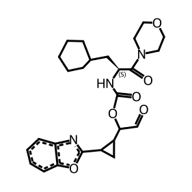 O=CC(OC(=O)N[C@@H](CC1CCCCC1)C(=O)N1CCOCC1)C1CC1c1nc2ccccc2o1